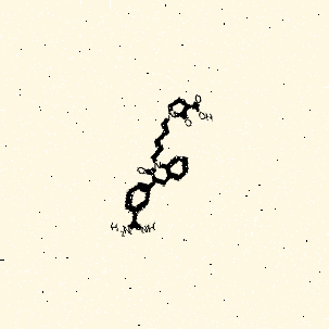 N=C(N)c1cccc(-c2cc3ccccc3n(CCCCCN3CCC(C(=O)O)C3=O)c2=O)c1